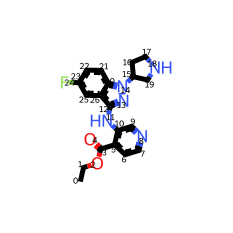 CCOC(=O)c1ccncc1Nc1nn(C2CCNC2)c2ccc(F)cc12